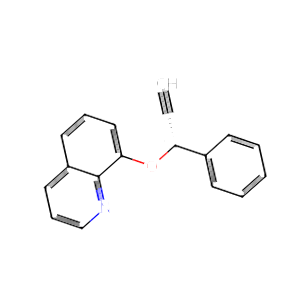 C#C[C@@H](Oc1cccc2cccnc12)c1ccccc1